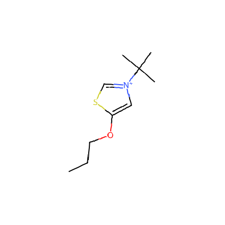 CCCOc1c[n+](C(C)(C)C)cs1